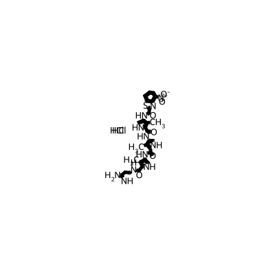 Cc1c(NC(=O)c2nc3c([N+](=O)[O-])cccc3s2)c[nH]c1C(=O)Nc1c[nH]c(C(=O)Nc2c[nH]c(C(=O)NCCC(=N)N)c2C)c1C.Cl.Cl